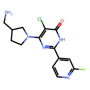 NCC1CCN(c2nc(-c3ccnc(F)c3)[nH]c(=O)c2Cl)C1